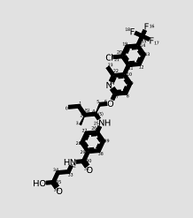 CC[C@H](C)[C@@H](COc1ccc(-c2ccc(C(F)(F)F)cc2Cl)c(C)n1)Nc1ccc(C(=O)NCCC(=O)O)cc1